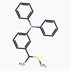 CSC(C)c1cccc(N(c2ccccc2)c2ccccc2)c1